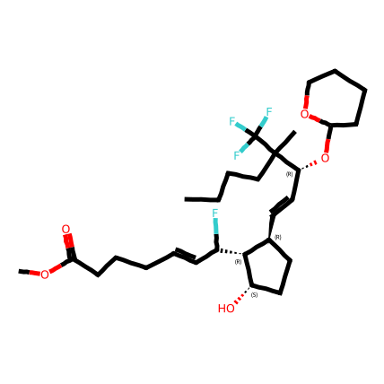 CCCCC(C)([C@@H](C=C[C@H]1CC[C@H](O)[C@@H]1C(F)C=CCCCC(=O)OC)OC1CCCCO1)C(F)(F)F